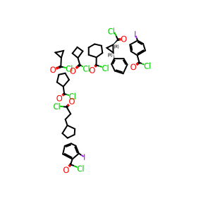 O=C(Cl)C1CC1.O=C(Cl)C1CCC1.O=C(Cl)C1CCCC1.O=C(Cl)C1CCCCC1.O=C(Cl)CCC1CCCC1.O=C(Cl)[C@@H]1C[C@H]1c1ccccc1.O=C(Cl)c1ccc(I)cc1.O=C(Cl)c1ccccc1I